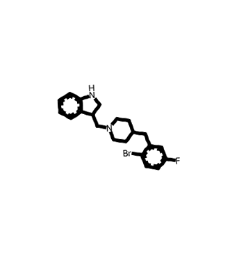 Fc1ccc(Br)c(CC2CCN(CC3CNc4ccccc43)CC2)c1